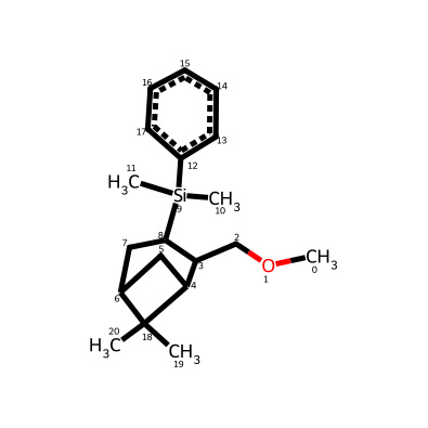 COCC1C2CC(CC1[Si](C)(C)c1ccccc1)C2(C)C